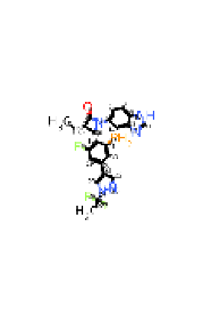 CC[C@@H]1C(=O)N(c2ccc3[nH]cnc3c2)[C@@H]1c1c(F)cc(-c2cnn(C(C)(F)F)c2)cc1P